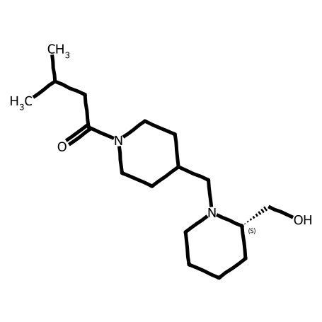 CC(C)CC(=O)N1CCC(CN2CCCC[C@H]2CO)CC1